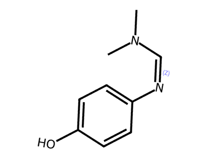 CN(C)/C=N\c1ccc(O)cc1